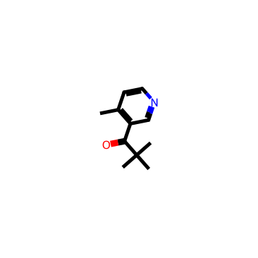 Cc1ccncc1C(=O)C(C)(C)C